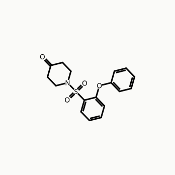 O=C1CCN(S(=O)(=O)c2ccccc2Oc2ccccc2)CC1